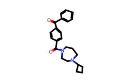 O=C(c1ccccc1)c1ccc(C(=O)N2CCCN(C3CCC3)CC2)cc1